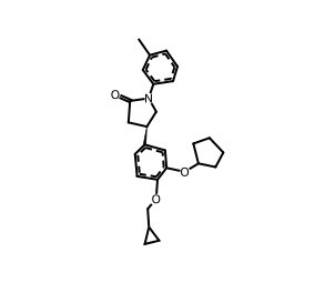 Cc1cccc(N2C[C@@H](c3ccc(OCC4CC4)c(OC4CCCC4)c3)CC2=O)c1